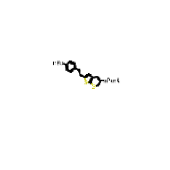 CCCCCC1CSc2sc(CCc3ccc(CCCC)cc3)cc2C1